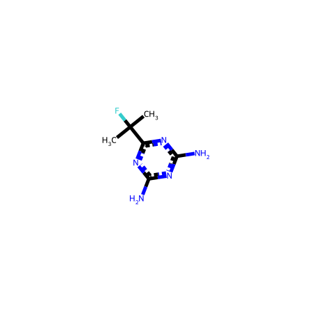 CC(C)(F)c1nc(N)nc(N)n1